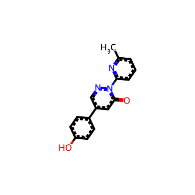 Cc1cccc(-n2ncc(-c3ccc(O)cc3)cc2=O)n1